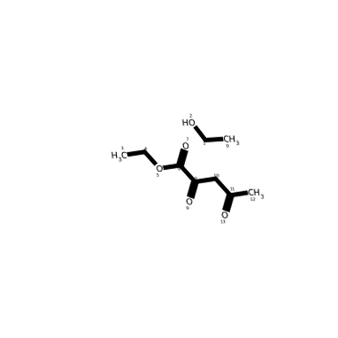 CCO.CCOC(=O)C(=O)CC(C)=O